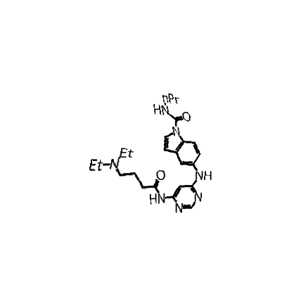 CCCNC(=O)n1ccc2cc(Nc3cc(NC(=O)CCCN(CC)CC)ncn3)ccc21